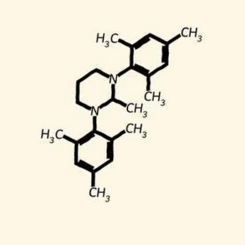 Cc1cc(C)c(N2CCCN(c3c(C)cc(C)cc3C)C2C)c(C)c1